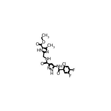 CCOC(=O)c1[nH]c(CNC(=O)c2cc(NC(=O)c3cc(F)c(F)cc3Cl)[nH]n2)nc1C